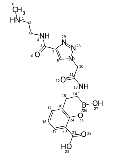 CNCCNC(=O)c1cn(CC(=O)N[C@H]2Cc3cccc(C(=O)O)c3OB2O)nn1